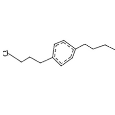 ClCCCc1ccc(CCCCl)cc1